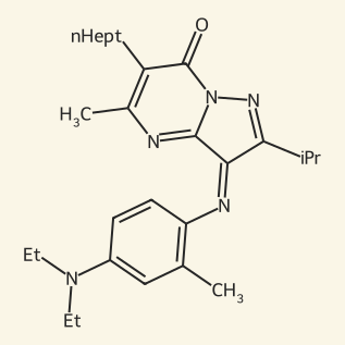 CCCCCCCc1c(C)nc2n(c1=O)N=C(C(C)C)C2=Nc1ccc(N(CC)CC)cc1C